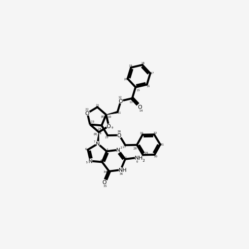 Nc1nc2c(ncn2[C@@H]2O[C@@]3(COC(=O)c4ccccc4)COC2C3COCc2ccccc2)c(=O)[nH]1